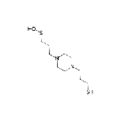 OSCCCN1CCN(CCCS)CC1